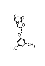 C=CN1CC(COc2cc(C)cc(C)c2)OC1=O